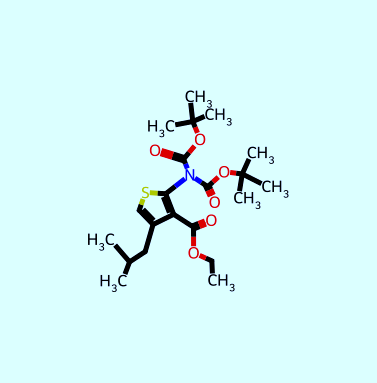 CCOC(=O)c1c(CC(C)C)csc1N(C(=O)OC(C)(C)C)C(=O)OC(C)(C)C